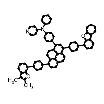 Cc1oc2c(-c3ccc(-c4ccc5ccc6c(-c7ccc(-c8cccc9c8oc8ccccc89)cc7)cc(-c7ccc(N(c8ccccc8)c8ccncc8)cc7)c7ccc4c5c67)cc3)cccc2c1C